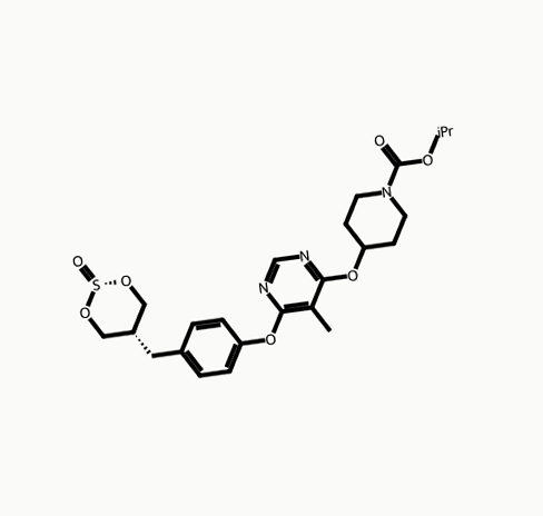 Cc1c(Oc2ccc(C[C@H]3CO[S@@](=O)OC3)cc2)ncnc1OC1CCN(C(=O)OC(C)C)CC1